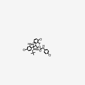 CC(C)(C)C[C@@H]1N[C@H](OC(=O)Nc2ccc(Cl)cc2)[C@H](c2cccc(Cl)c2F)[C@]12C(=O)Nc1cc(Cl)ccc12